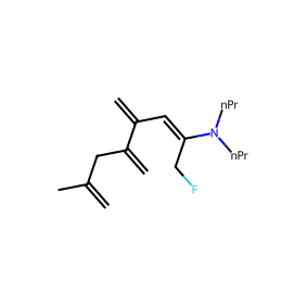 C=C(C)CC(=C)C(=C)/C=C(\CF)N(CCC)CCC